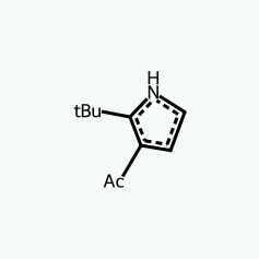 CC(=O)c1cc[nH]c1C(C)(C)C